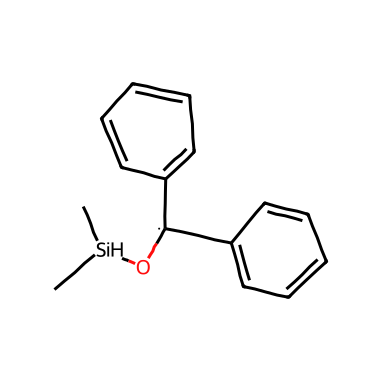 C[SiH](C)O[C](c1ccccc1)c1ccccc1